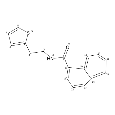 O=C(NCCc1cccs1)c1cccc2ccccc12